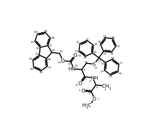 COC(=O)C(C)NC(=O)C(CSC(c1ccccc1)(c1ccccc1)c1ccccc1)NC(=O)OCC1c2ccccc2-c2ccccc21